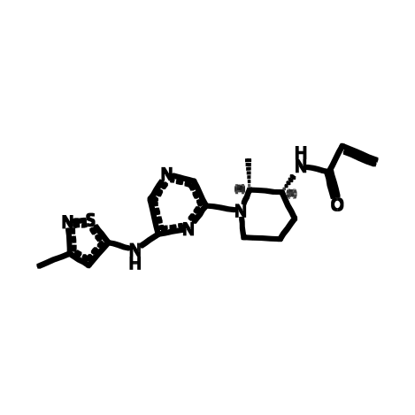 C=CC(=O)N[C@@H]1CCCN(c2cncc(Nc3cc(C)ns3)n2)[C@@H]1C